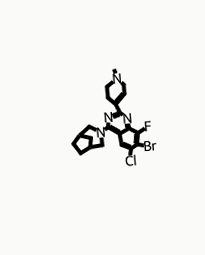 CN1CC=C(c2nc(N3CC4CCC(C4)C3)c3cc(Cl)c(Br)c(F)c3n2)CC1